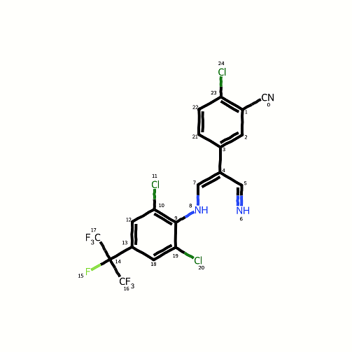 N#Cc1cc(/C(C=N)=C/Nc2c(Cl)cc(C(F)(C(F)(F)F)C(F)(F)F)cc2Cl)ccc1Cl